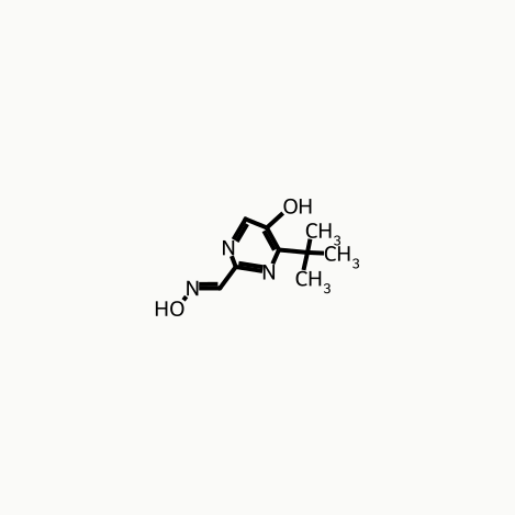 CC(C)(C)c1nc(C=NO)ncc1O